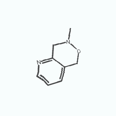 CN1Cc2ncccc2CO1